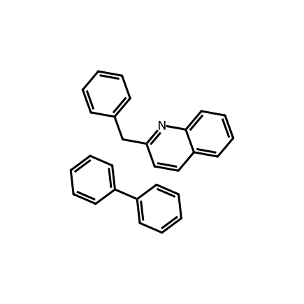 c1ccc(-c2ccccc2)cc1.c1ccc(Cc2ccc3ccccc3n2)cc1